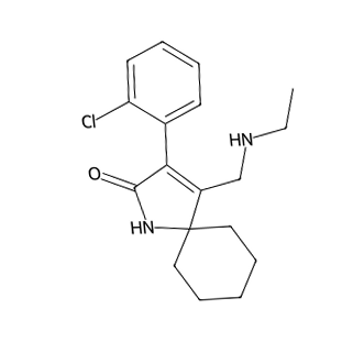 CCNCC1=C(c2ccccc2Cl)C(=O)NC12CCCCC2